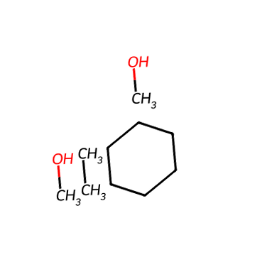 C1CCCCC1.CC.CO.CO